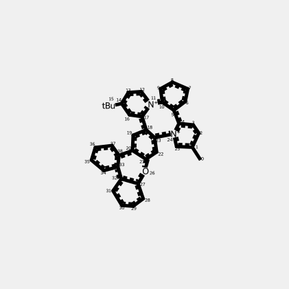 Cc1ccc2c3ccccc3[n+]3ccc(C(C)(C)C)cc3c3cc4c(cc3[n+]2c1)oc1ccccc1c1ccccc41